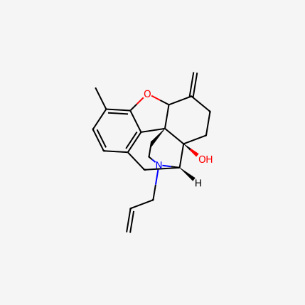 C=CCN1CC[C@@]23c4c5ccc(C)c4OC2C(=C)CC[C@]3(O)[C@@H]1C5